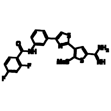 CSc1sc(C(=N)N)cc1-c1nc(-c2cccc(NC(=O)c3ccc(F)cc3F)c2)cs1